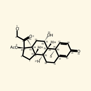 CC(=O)O[C@]1(C(=O)CCl)CC[C@H]2[C@@H]3CCC4=CC(=O)C=C[C@]4(C)[C@H]3[C@@H](O)C[C@@]21C